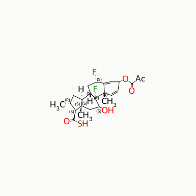 CC(=O)C(=O)OC1C=C[C@@]2(C)C(=C1)[C@@H](F)C[C@H]1[C@@H]3C[C@@H](C)[C@H](C(=O)S)[C@@]3(C)C[C@H](O)[C@@]12F